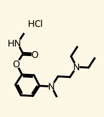 CCN(CC)CCN(C)c1cccc(OC(=O)NC)c1.Cl